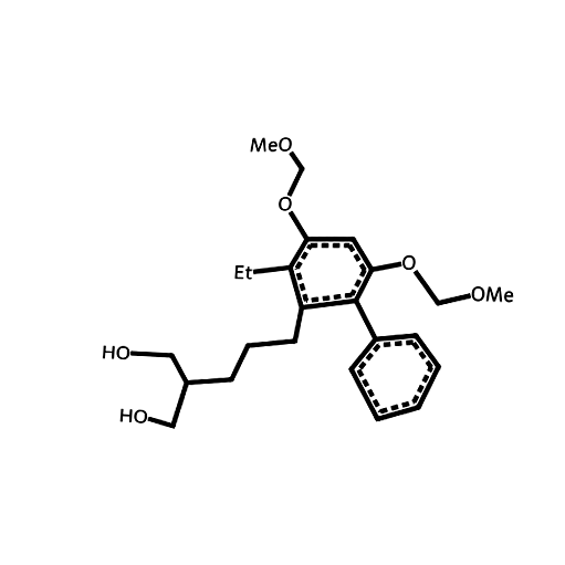 CCc1c(OCOC)cc(OCOC)c(-c2ccccc2)c1CCCC(CO)CO